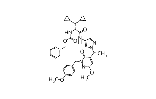 COc1ccc(Cn2nc(OC)cc(C(C)n3cc(NC(=O)C(NC(=O)OCc4ccccc4)C(C4CC4)C4CC4)cn3)c2=O)cc1